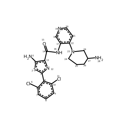 Nc1sc(-c2c(Cl)cccc2Cl)nc1C(=O)Nc1cnccc1N1CCCC(N)C1